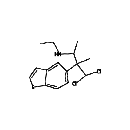 CCNC(C)C(C)(c1ccc2sccc2c1)C(Cl)Cl